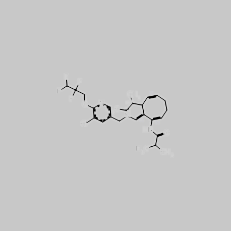 CC[C@@H](C)C1/C=C\CC/C=C(NC(=O)C(C)C)\C1=C\NCc1cnc(OCC(F)(F)C(F)F)c(Cl)c1